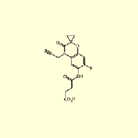 C#CCN1C(=O)C2(CC2)Oc2cc(F)c(NC(=O)CCC(=O)O)cc21